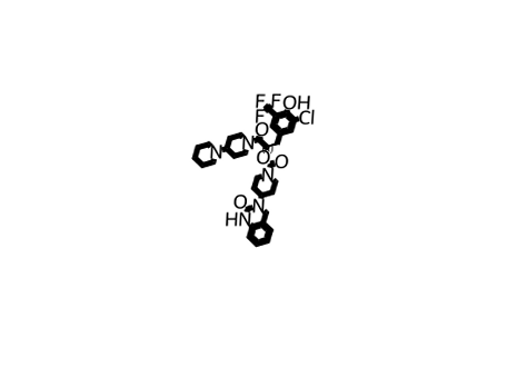 O=C(O[C@H](Cc1cc(Cl)c(O)c(C(F)(F)F)c1)C(=O)N1CCC(N2CCCCC2)CC1)N1CCC(N2Cc3ccccc3NC2=O)CC1